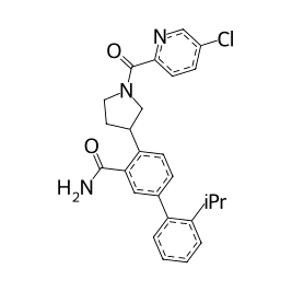 CC(C)c1ccccc1-c1ccc(C2CCN(C(=O)c3ccc(Cl)cn3)C2)c(C(N)=O)c1